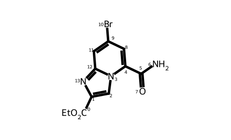 CCOC(=O)c1cn2c(C(N)=O)cc(Br)cc2n1